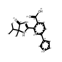 CC(C)C1(C)NC(c2nc(-c3ccsc3)ccc2C(=O)O)=NC1=O